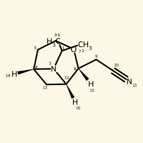 CC(C)N1[C@H]2CCO[C@H](CC#N)[C@@H]1C2